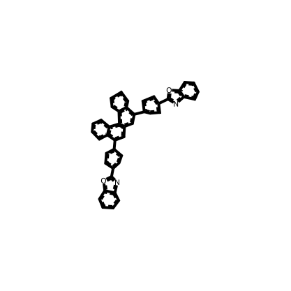 c1ccc2oc(-c3ccc(-c4cc5cc(-c6ccc(-c7nc8ccccc8o7)cc6)c6ccccc6c5c5ccccc45)cc3)nc2c1